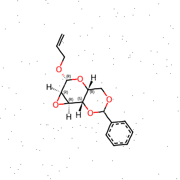 C=CCO[C@@H]1O[C@@H]2COC(c3ccccc3)O[C@@H]2[C@H]2O[C@@H]12